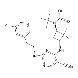 CC1(C)[C@@H](Nc2nc(NCCc3cccc(Cl)c3)ncc2C#N)C[C@H]1N(C(=O)O)C(C)(C)C